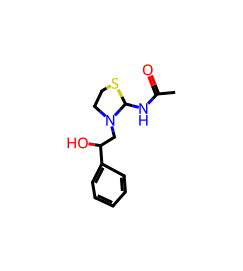 CC(=O)NC1SCCN1CC(O)c1ccccc1